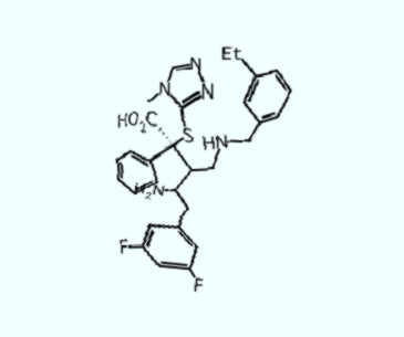 CCc1cccc(CNCC(C(N)Cc2cc(F)cc(F)c2)[C@@](Sc2nncn2C)(C(=O)O)c2ccccc2)c1